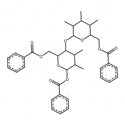 CC1C(COC(=O)c2ccccc2)OC(OC2C(COC(=O)c3ccccc3)OC(OC(=O)c3ccccc3)C(C)C2C)C(C)C1C